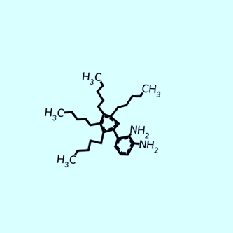 CCCCCc1cc(-c2cccc(N)c2N)c(CCCCC)c(CCCCC)c1CCCCC